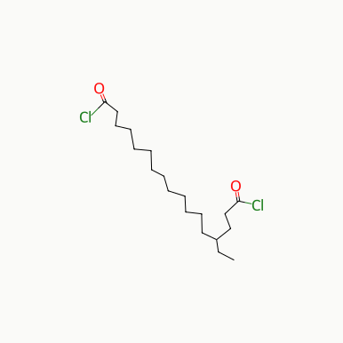 CCC(CCCCCCCCCCCCC(=O)Cl)CCC(=O)Cl